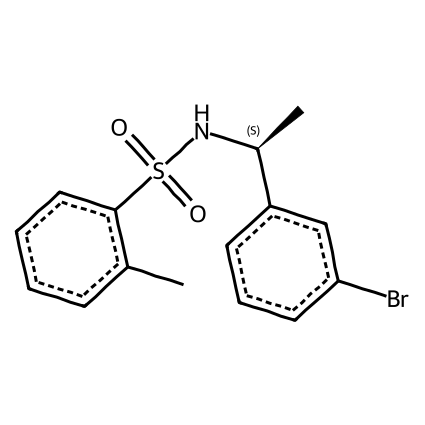 Cc1ccccc1S(=O)(=O)N[C@@H](C)c1cccc(Br)c1